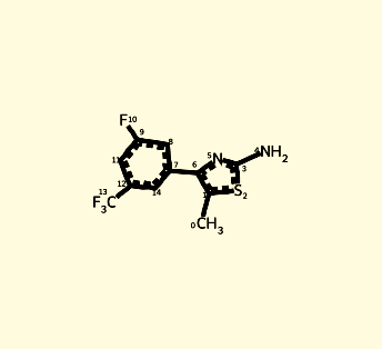 Cc1sc(N)nc1-c1cc(F)cc(C(F)(F)F)c1